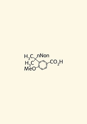 CCCCCCCCCC(C)(C)c1cc(C(=O)O)ccc1OC